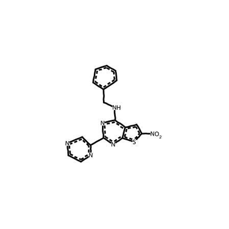 O=[N+]([O-])c1cc2c(NCc3ccccc3)nc(-c3cnccn3)nc2s1